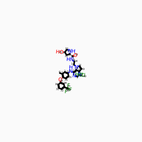 Cc1cc(Nc2ncnc3ccn(CCNC(=O)[C@@H]4C[C@@H](O)CN4)c23)ccc1Oc1cccc(C(F)(F)F)c1.Cl.Cl